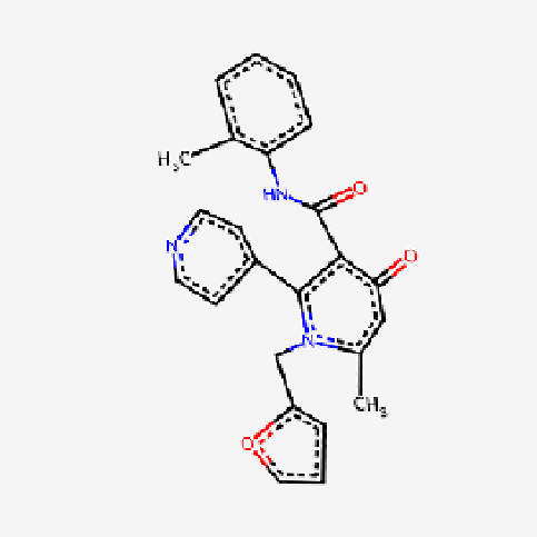 Cc1ccccc1NC(=O)c1c(-c2ccncc2)n(Cc2ccco2)c(C)cc1=O